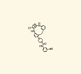 N#Cc1cccc(NC(=O)N2CCN(c3ccc4cc3CCc3cccc(c3)Nc3ncc(Cl)c(n3)N4)CC2)c1